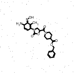 CC1=C(N2CC(C(=O)N3CCC(C(=O)OCc4ccccc4)CC3)OC2=O)C=CC(N)C1=NO